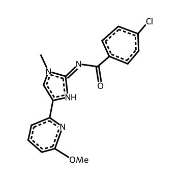 COc1cccc(-c2cn(C)/c(=N/C(=O)c3ccc(Cl)cc3)[nH]2)n1